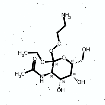 CCO[C@@]1(OOCCN)O[C@H](CO)[C@H](O)[C@H](O)[C@H]1NC(C)=O